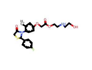 Cc1cc(OCC(=O)OCCNCCO)ccc1N1C(=O)CSC1c1ccc(F)cc1